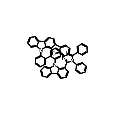 c1ccc(-c2nnc(-c3cccc4c5ccccc5n(-c5ccccc5-c5ccccc5-n5c6ccccc6c6ccc7c8ccccc8oc7c65)c34)n2-c2ccccc2)cc1